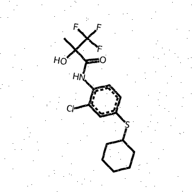 CC(O)(C(=O)Nc1ccc(SC2CCCCC2)cc1Cl)C(F)(F)F